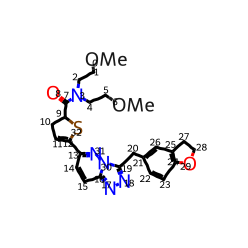 COCCN(CCOC)C(=O)C1CC=C(c2ccc3nnc(Cc4ccc5c(c4)CCO5)n3n2)S1